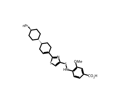 CCC[C@H]1CC[C@H](C2CC=C(c3nc(SNc4ccc(C(=O)O)cc4OC)cs3)CC2)CC1